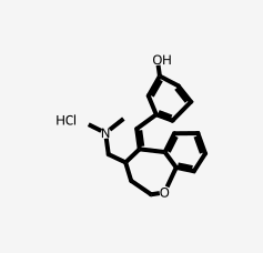 CN(C)CC1CCOc2ccccc2C1=Cc1cccc(O)c1.Cl